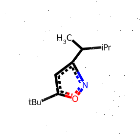 CC(C)C(C)c1cc(C(C)(C)C)on1